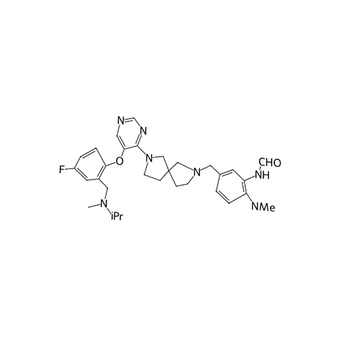 CNc1ccc(CN2CCC3(CCN(c4ncncc4Oc4ccc(F)cc4CN(C)C(C)C)C3)C2)cc1NC=O